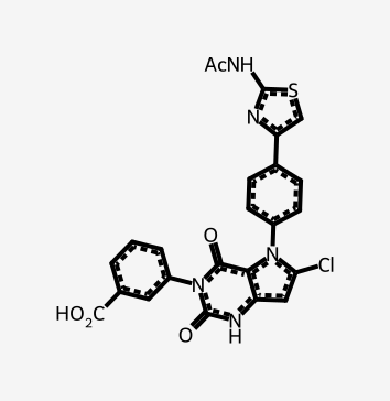 CC(=O)Nc1nc(-c2ccc(-n3c(Cl)cc4[nH]c(=O)n(-c5cccc(C(=O)O)c5)c(=O)c43)cc2)cs1